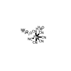 N#[C][Fe]([C]#N)([C]#N)([C]#N)([C]#N)[C]#N.O.O.O.O.[KH]